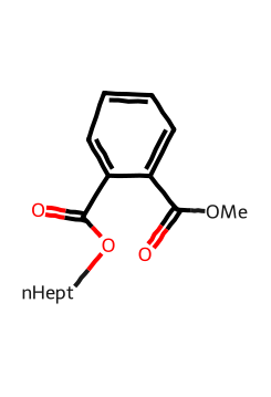 CCCCCCCOC(=O)c1ccccc1C(=O)OC